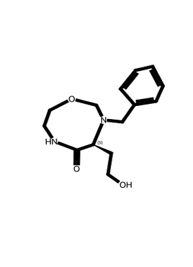 O=C1NCCOCN(Cc2ccccc2)[C@H]1CCO